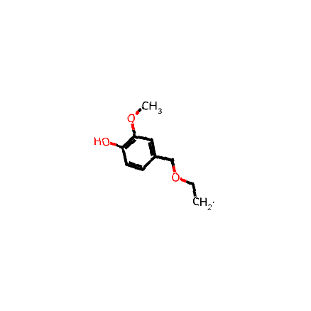 [CH2]COCc1ccc(O)c(OC)c1